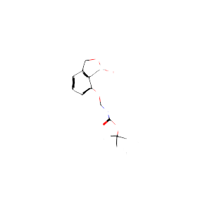 CC(C)(C)OC(=O)NCOc1cccc2c1B(O)OC2